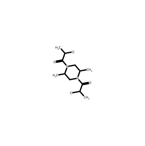 CC(Cl)C(=O)N1CC(C)N(C(=O)C(C)Cl)CC1C